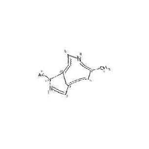 CC(=O)n1ncc2cc(C)ncc21